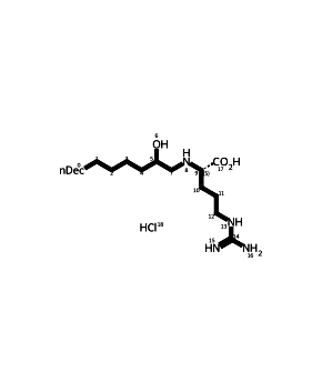 CCCCCCCCCCCCCCC(O)CN[C@@H](CCCNC(=N)N)C(=O)O.Cl